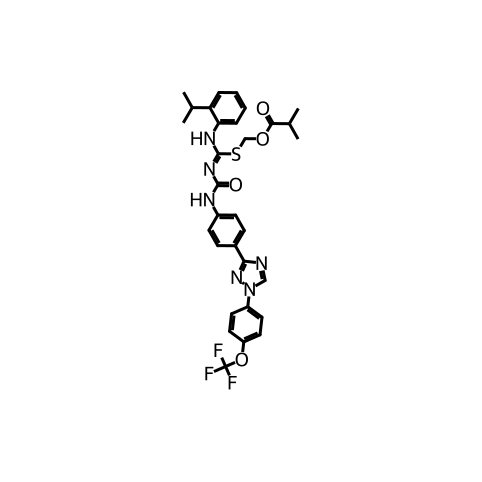 CC(C)C(=O)OCS/C(=N\C(=O)Nc1ccc(-c2ncn(-c3ccc(OC(F)(F)F)cc3)n2)cc1)Nc1ccccc1C(C)C